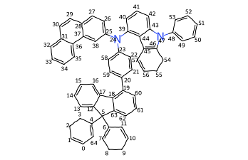 C1=CCCC(C2(C3=CCCC=C3)c3ccccc3-c3c(-c4ccc(N(c5ccc6ccc7ccccc7c6c5)c5cccc6c5c5c(n6-c6ccccc6)CCC=C5)cc4)cccc32)=C1